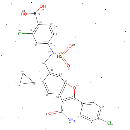 NC(=O)c1c(-c2ccc(Cl)cc2)oc2cc(CN(c3ccc(B(O)O)c(Cl)c3)[SH](=O)=O)c(C3CC3)cc12